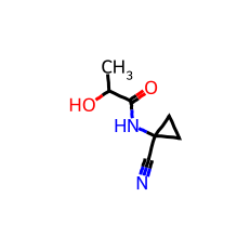 CC(O)C(=O)NC1(C#N)CC1